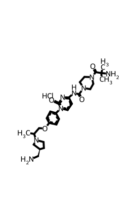 CC(COc1ccc(-n2ccc(NC(=O)N3CCN(C(=O)C(C)(C)N)CC3)nc2=O)cc1)N1CC[C@@H](CN)C1.Cl